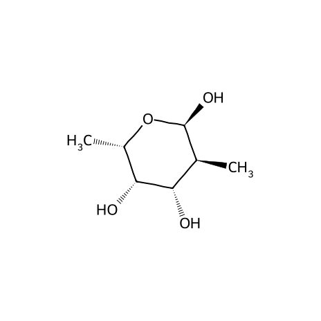 C[C@H]1[C@H](O)[C@H](O)[C@H](C)O[C@H]1O